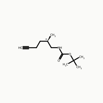 C#CCC[C@@H](C)CNC(=O)OC(C)(C)C